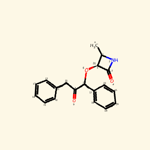 CC1NC(=O)[C@H]1OC(C(=O)Cc1ccccc1)c1ccccc1